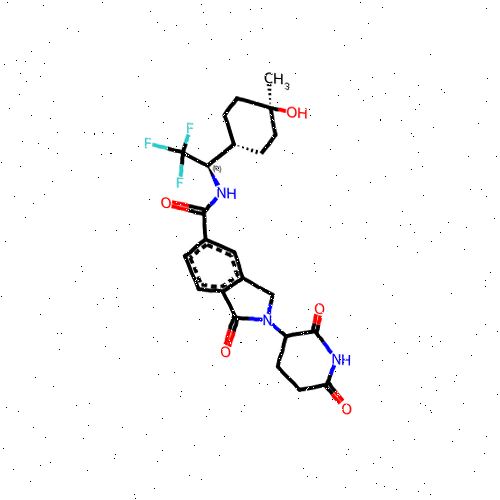 C[C@]1(O)CC[C@H]([C@@H](NC(=O)c2ccc3c(c2)CN(C2CCC(=O)NC2=O)C3=O)C(F)(F)F)CC1